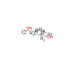 CC[C@]1(O)CC[C@@]2(C)C(=CC[C@H]3[C@@H]4CC[C@H](CCCC(O)c5ccccc5)[C@@]4(C)CC[C@@H]32)C1